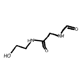 O=CNCC(=O)NCCO